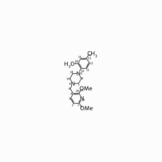 COc1ccc(CN2CCN(c3ccc(C)cc3C)CC2)c(OC)n1